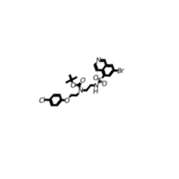 CC(C)(C)OC(=O)N(CCNS(=O)(=O)c1cc(Br)cc2cnccc12)CCOc1ccc(Cl)cc1